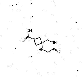 O=C1CNC2(CN1)CN(C(=O)O)C2